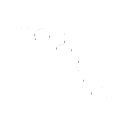 CCCCCCc1ccc(-c2ccc(C=NN=Cc3ccccc3CCCCCC)cc2F)cc1